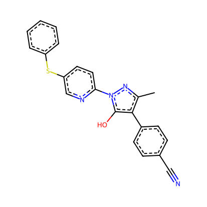 Cc1nn(-c2ccc(Sc3ccccc3)cn2)c(O)c1-c1ccc(C#N)cc1